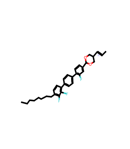 C/C=C/C1COC(c2ccc(-c3ccc(-c4ccc(CCCCCCCC)c(F)c4F)cc3)c(F)c2)OC1